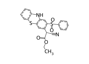 CCOC(=O)C(C#N)c1cc2c(cc1S(=O)(=O)c1ccccc1)Nc1ccccc1S2